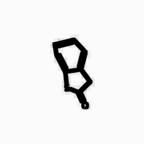 O=C1Cc2ccccc2S1